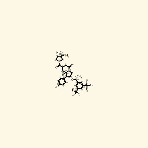 C[C@@H](O[C@H]1CN2C(=O)CC(C(=O)N3CCC(C)(N)C3)C[C@H]2C1c1ccc(F)cc1)c1cc(C(F)(F)F)cc(C(F)(F)F)c1